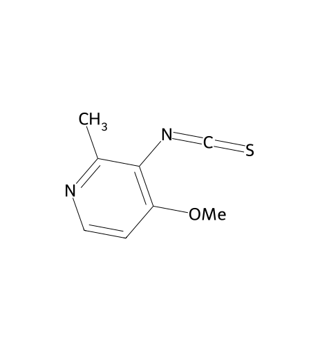 COc1ccnc(C)c1N=C=S